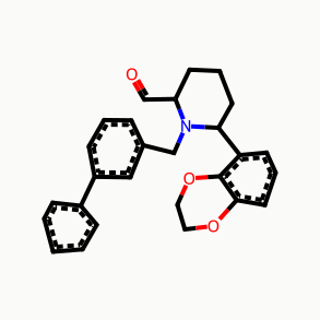 O=CC1CCCC(c2cccc3c2OCCO3)N1Cc1cccc(-c2ccccc2)c1